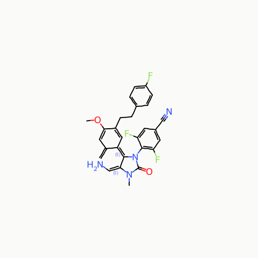 C=c1cc(OC)c(CCc2ccc(F)cc2)c/c1=c1/c(=C\N)n(C)c(=O)n1-c1c(F)cc(C#N)cc1F